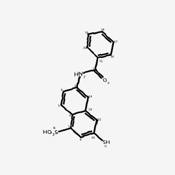 O=C(Nc1ccc2c(S(=O)(=O)O)cc(S)cc2c1)c1ccccc1